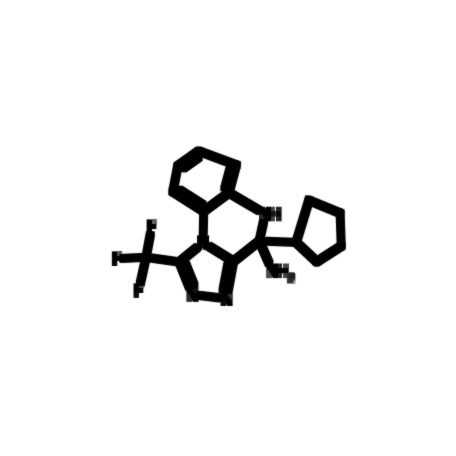 NC1(C2CCCC2)Nc2ccccc2-n2c(C(F)(F)F)nnc21